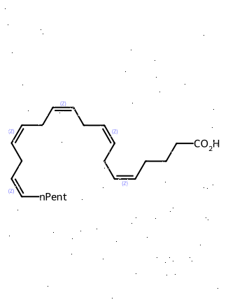 CCCCC/C=C\C/C=C\C/C=C\C/C=C\C/C=C\CCCC(=O)O